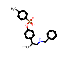 CCOC(=O)C(CNCc1ccccc1)c1ccc(OS(=O)(=O)c2ccc(C)cc2)cc1